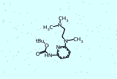 CN(C)CCN(C)c1cccc(NC(=O)OC(C)(C)C)n1